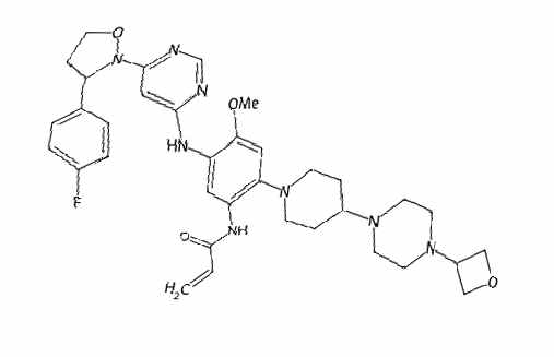 C=CC(=O)Nc1cc(Nc2cc(N3OCCC3c3ccc(F)cc3)ncn2)c(OC)cc1N1CCC(N2CCN(C3COC3)CC2)CC1